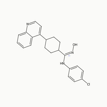 O/N=C(/Nc1ccc(Cl)cc1)C1CCC(c2ccnc3ccccc23)CC1